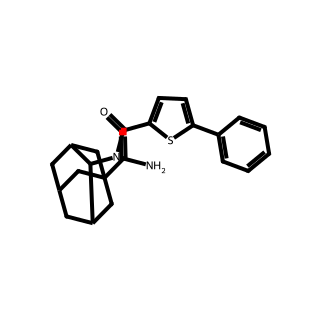 NC(=O)C12CC3CC(C1)C(NC(=O)c1ccc(-c4ccccc4)s1)C(C3)C2